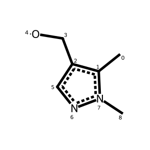 Cc1c(C[O])cnn1C